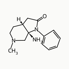 CN1CC[C@@H]2CC(=O)N(c3ccccc3)[C@]2(N)C1